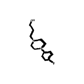 OCCCN1CCN(c2ccc(F)cc2)CC1